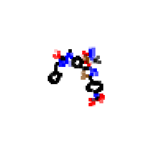 CN(C(=O)NCc1ccccc1)c1ccc(-c2cnc(-c3ccc([N+](=O)[O-])cc3)s2)c(S(=O)(=O)NC(C)(C)C)c1